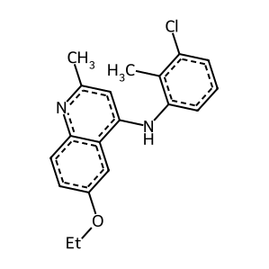 CCOc1ccc2nc(C)cc(Nc3cccc(Cl)c3C)c2c1